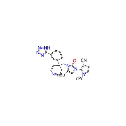 CCCCc1cn(-c2c(C#N)ccn2CCC)c(=O)n1CC1(c2cccc(-c3nnn[nH]3)c2)C=CN=CC1